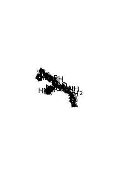 CC(C)c1ccccc1[C@@H]1CCCN1C1CC2(CCN(c3cc(Oc4cnc5[nH]ccc5c4)c(C(=O)NS(=O)(=O)c4ccc(NCC5(F)CCN(C6CC6)CC5)c(N)c4)cc3F)CC2)C1